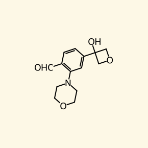 O=Cc1ccc(C2(O)COC2)cc1N1CCOCC1